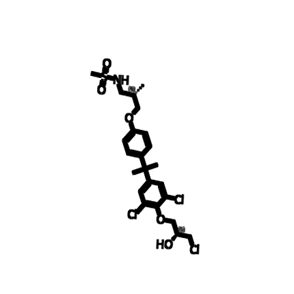 C[C@@H](CNS(C)(=O)=O)COc1ccc(C(C)(C)c2cc(Cl)c(OC[C@H](O)CCl)c(Cl)c2)cc1